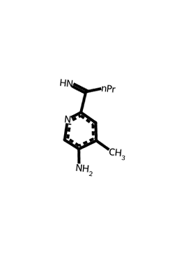 CCCC(=N)c1cc(C)c(N)cn1